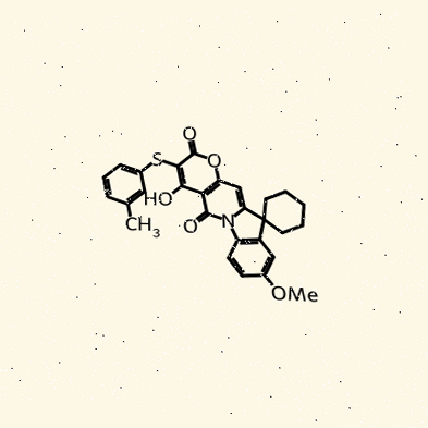 COc1ccc2c(c1)C1(CCCCC1)c1cc3oc(=O)c(Sc4cccc(C)c4)c(O)c3c(=O)n1-2